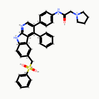 O=C(CN1CCCC1)Nc1ccc(-c2cnc3[nH]c4ccc(CS(=O)(=O)c5ccccc5)cc4c3c2-c2ccccc2)cc1